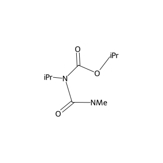 CNC(=O)N(C(=O)OC(C)C)C(C)C